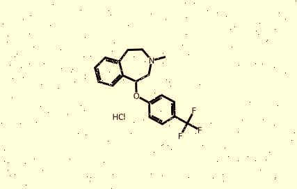 CN1CCc2ccccc2C(Oc2ccc(C(F)(F)F)cc2)C1.Cl